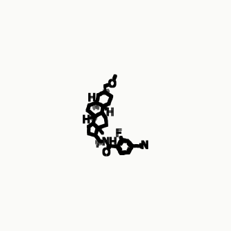 COC[C@H]1CC[C@@H]2C3CC[C@@]4(C)C(CCC4[C@@H](C)NC(=O)c4ccc(C#N)cc4F)[C@@H]3CC[C@@H]2C1